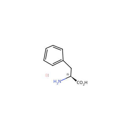 N[C@@H](Cc1ccccc1)C(=O)O.[B]